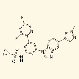 Cn1cc(-c2ccc3c(c2)ncn3-c2cc(-c3ncc(F)cc3F)cc(NS(=O)(=O)C3CC3)n2)cn1